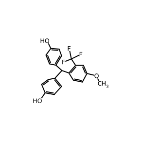 COc1ccc(C(c2ccc(O)cc2)c2ccc(O)cc2)c(C(F)(F)F)c1